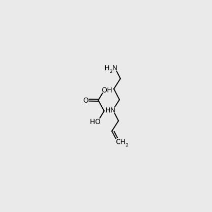 C=CCNCCCN.O=C(O)CO